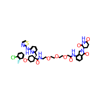 O=C1CCC(N2Cc3c(NC(=O)COCCOCCOCCNC(=O)[C@]4(Cc5cccc(Nc6nccs6)n5)CC[C@@H](Oc5cccc(Cl)c5F)CC4)cccc3C2=O)C(=O)N1